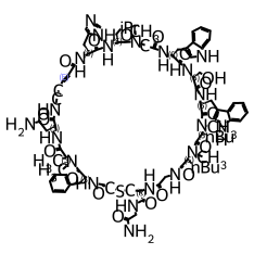 CCCC[C@H]1C(=O)N(C)[C@@H](CCCC)C(=O)NCC(=O)N[C@H](C(=O)NCC(N)=O)CSCC(=O)N[C@@H](Cc2ccccc2)C(=O)N(C)[C@@H](C)C(=O)N[C@@H](CC(N)=O)C(=O)NCC/C=C/C(=O)N[C@@H](Cc2cnc[nH]2)C(=O)N[C@@H](CC(C)C)C(=O)N(C)CC(=O)N[C@@H](Cc2c[nH]c3ccccc23)C(=O)N[C@@H](CO)C(=O)N[C@@H](Cc2c[nH]c3ccccc23)C(=O)N1C